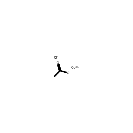 CC(=O)[O-].[Cl-].[Co+2]